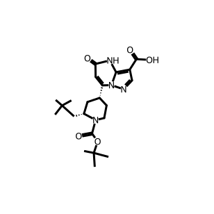 CC(C)(C)C[C@@H]1C[C@H](c2cc(=O)[nH]c3c(C(=O)O)cnn23)CCN1C(=O)OC(C)(C)C